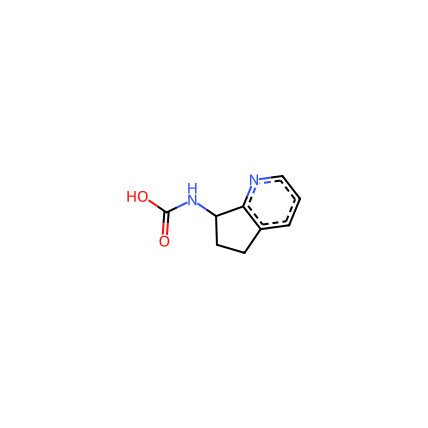 O=C(O)NC1CCc2cccnc21